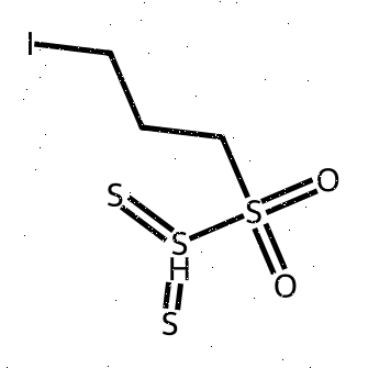 O=S(=O)(CCCI)[SH](=S)=S